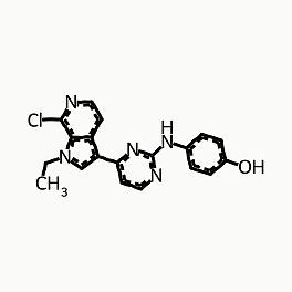 CCn1cc(-c2ccnc(Nc3ccc(O)cc3)n2)c2ccnc(Cl)c21